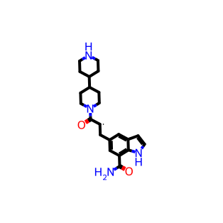 NC(=O)c1cc(C[CH]C(=O)N2CCC(C3CCNCC3)CC2)cc2cc[nH]c12